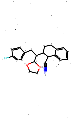 N#CC1c2ccccc2CCC1C(Cc1ccc(F)cc1)C1OCCO1